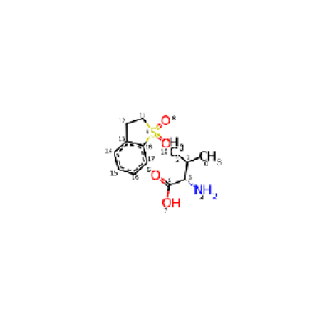 CC(C)[C@H](N)C(=O)O.O=S1(=O)CCc2ccccc21